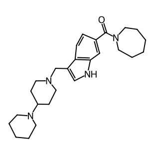 O=C(c1ccc2c(CN3CCC(N4CCCCC4)CC3)c[nH]c2c1)N1CCCCCC1